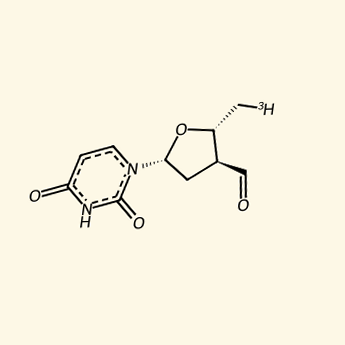 [3H]C[C@H]1O[C@@H](n2ccc(=O)[nH]c2=O)C[C@@H]1C=O